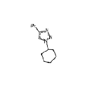 CC(C)c1cn(C2CCCCC2)nn1